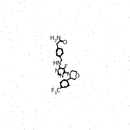 NC(=O)Cc1ccc(CNc2ncnc(N3CCOCC3c3ccc(C(F)(F)F)cc3)c2F)cc1